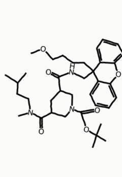 COCCCCC1(CNC(=O)C2CC(C(=O)N(C)CCC(C)C)CN(C(=O)OC(C)(C)C)C2)c2ccccc2Oc2ccccc21